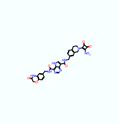 Nc1c(N2CCc3ccc(CNC(=O)c4c[nH]c5c(C(=O)NCc6ccc7c(c6)NC(=O)CO7)ncnc45)cc3C2)c(=O)c1=O